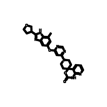 Cc1cc(Oc2cc(N3CCC4(CC3)OC(=O)Nc3ncccc34)ncn2)cc2nc(C3CCOC3)[nH]c12